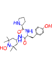 CC1(C)CC(NC(=O)[C@H](Cc2ccc(O)cc2)NC(=O)[C@@H]2CCCN2)CC(C)(C)N1O